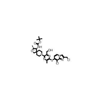 Cc1nc(N2CCC3(CC2)CO[C@@H](C)[C@H]3NC(=O)OC(C)(C)C)c(CO)nc1Sc1ccn2cc(CCl)nc2c1Cl